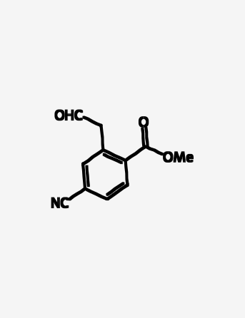 COC(=O)c1ccc(C#N)cc1CC=O